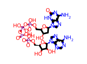 Nc1nc(=O)[nH]c2c1ncn2C1C[C@@H](O)C(COP(=O)(O)OP(=O)(O)OP(=O)(O)OP(=O)(O)OC[C@H]2O[C@@H](n3cnc4c(N)ncnc43)C(O)C2O)O1